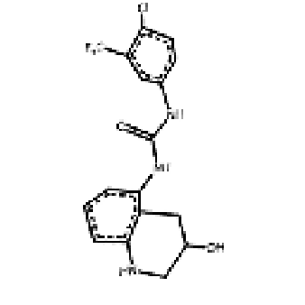 O=C(Nc1ccc(Cl)c(C(F)(F)F)c1)Nc1cccc2c1CC(O)CN2